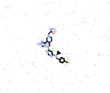 NC(=O)CN1CCC(CNc2ncnc(N(Cc3ccc(C(F)(F)F)cc3)C3CC3)c2F)C(c2nc[nH]n2)C1